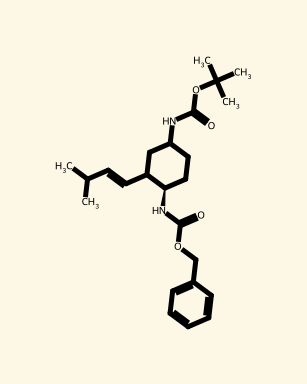 CC(C)C=CC1CC(NC(=O)OC(C)(C)C)CC[C@H]1NC(=O)OCc1ccccc1